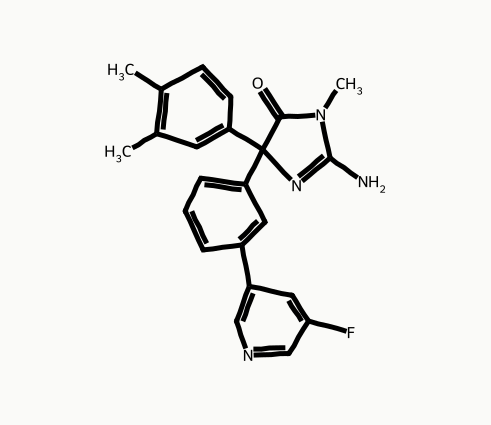 Cc1ccc(C2(c3cccc(-c4cncc(F)c4)c3)N=C(N)N(C)C2=O)cc1C